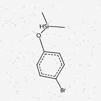 C[SiH](C)Oc1ccc(Br)cc1